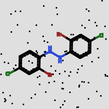 Clc1ccc(NNc2ccc(Cl)cc2Br)c(Br)c1